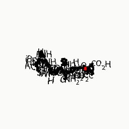 CSCCC(NC(=O)[C@H](CC(C)C)NC(=O)[C@H](Cc1cnc[nH]1)NC(=O)CNC(=O)[C@@H](NC(=O)C(C)NC(=O)[C@H](Cc1c[nH]c2ccccc12)NC(=O)C(CCC(N)=O)NC(=O)c1ccc(NC(=O)CNC(=O)CCC2(N(CC(=O)O)CC(=O)O)CN(CC(=O)O)CCN(CC(=O)O)C2)cc1)C(C)C)C(C)=O